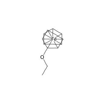 CCO[C]12[CH]3[CH]4[CH]5[CH]1[Fe]45321678[CH]2[CH]1[CH]6[CH]7[CH]28